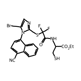 CCOC(=O)C(CS)NC(=O)C(F)(F)Sc1ncc(Br)n1-c1ccc(C#N)c2ccccc12